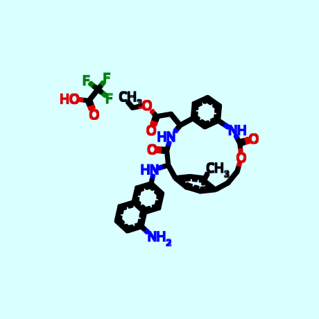 CCOC(=O)CC1NC(=O)C(Nc2ccc3c(N)cccc3c2)c2ccc(c(C)c2)CCOC(=O)Nc2cccc1c2.O=C(O)C(F)(F)F